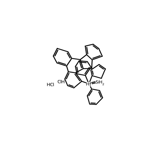 Cl.Cl.[SiH2]=[Hf]([C]1=CC=CC1)([c]1ccccc1)([c]1ccccc1)[c]1cccc2c1c1c(c3ccccc32)-c2ccccc2C1